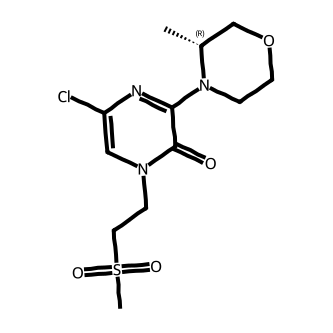 C[C@@H]1COCCN1c1nc(Cl)cn(CCS(C)(=O)=O)c1=O